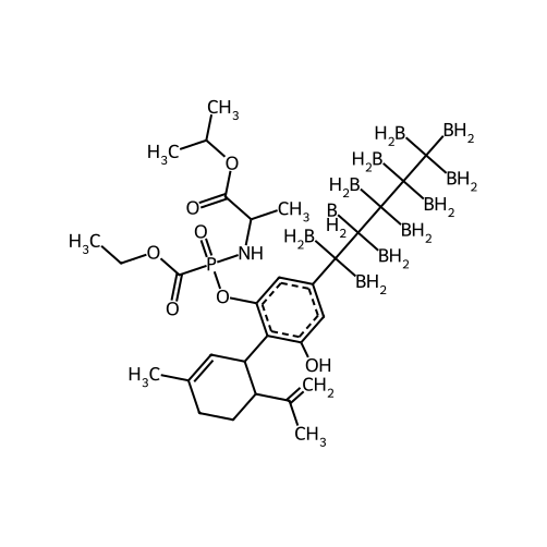 BC(B)(B)C(B)(B)C(B)(B)C(B)(B)C(B)(B)c1cc(O)c(C2C=C(C)CCC2C(=C)C)c(OP(=O)(NC(C)C(=O)OC(C)C)C(=O)OCC)c1